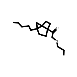 CCCCCC12CCC3(C(=O)COCCC)CCC13C2